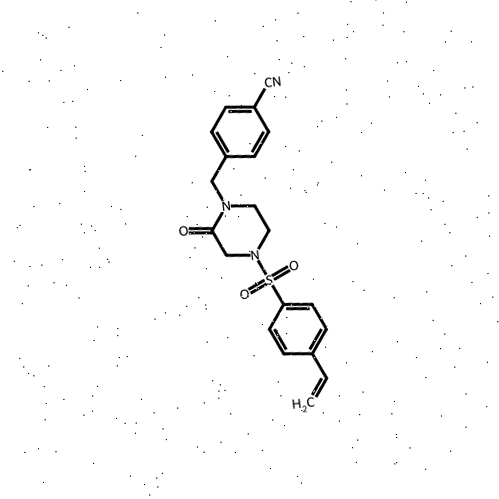 C=Cc1ccc(S(=O)(=O)N2CCN(Cc3ccc(C#N)cc3)C(=O)C2)cc1